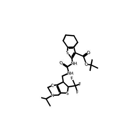 CC(C)N1CCC2=C(C1)SC(C(F)(F)F)C2CNC(=O)Nc1sc2c(c1C(=O)OC(C)(C)C)CCCC2